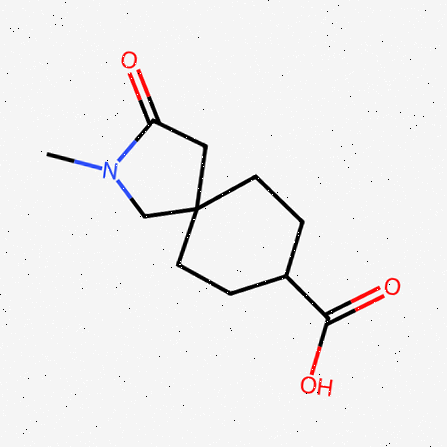 CN1CC2(CCC(C(=O)O)CC2)CC1=O